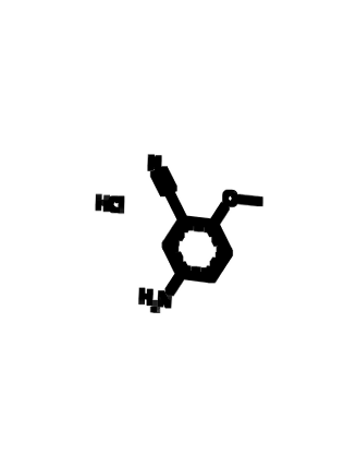 COc1ccc(N)cc1C#N.Cl